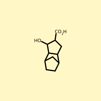 O=C(O)C1CC2C3CCC(C3)C2C1O